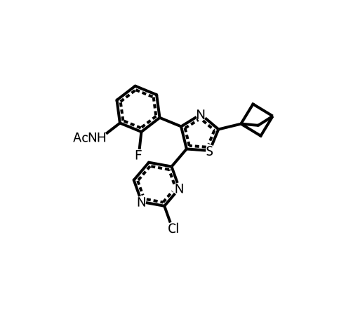 CC(=O)Nc1cccc(-c2nc(C34CC(C3)C4)sc2-c2ccnc(Cl)n2)c1F